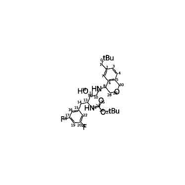 CC(C)(C)Cc1ccc2c(c1)C(NC[C@@H](O)C(Cc1cc(F)cc(F)c1)NC(=O)OC(C)(C)C)COC2